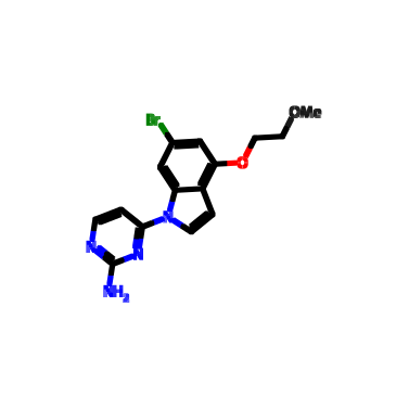 COCCOc1cc(Br)cc2c1ccn2-c1ccnc(N)n1